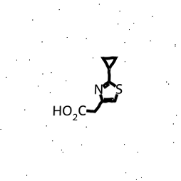 O=C(O)Cc1csc(C2CC2)n1